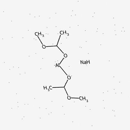 COC(C)[O][Al][O]C(C)OC.[NaH]